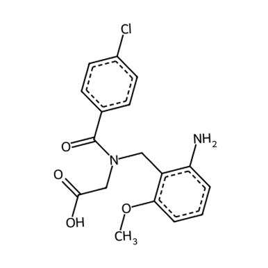 COc1cccc(N)c1CN(CC(=O)O)C(=O)c1ccc(Cl)cc1